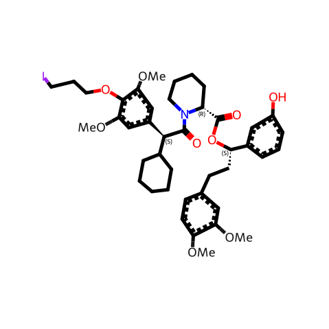 COc1ccc(CC[C@H](OC(=O)[C@H]2CCCCN2C(=O)[C@H](c2cc(OC)c(OCCCI)c(OC)c2)C2CCCCC2)c2cccc(O)c2)cc1OC